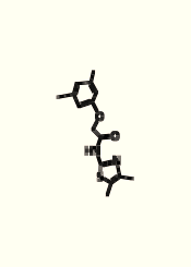 Cc1cc(C)cc(OCC(=O)Nc2nc(C)c(C)s2)c1